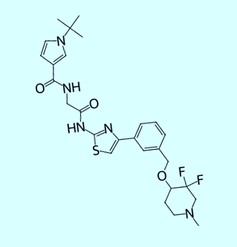 CN1CCC(OCc2cccc(-c3csc(NC(=O)CNC(=O)c4ccn(C(C)(C)C)c4)n3)c2)C(F)(F)C1